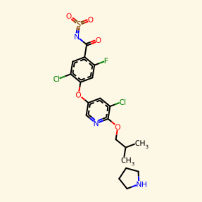 C1CCNC1.CC(C)COc1ncc(Oc2cc(F)c(C(=O)N=S(=O)=O)cc2Cl)cc1Cl